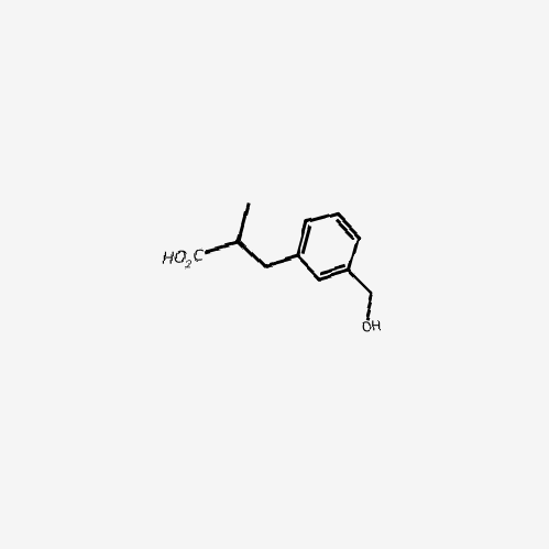 CC(Cc1cccc(CO)c1)C(=O)O